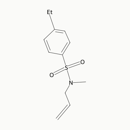 C=CCN(C)S(=O)(=O)c1ccc(CC)cc1